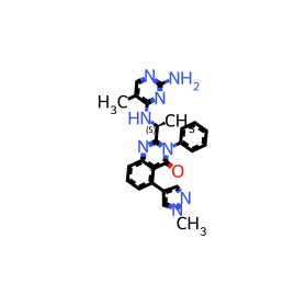 Cc1cnc(N)nc1N[C@@H](C)c1nc2cccc(-c3cnn(C)c3)c2c(=O)n1-c1ccccc1